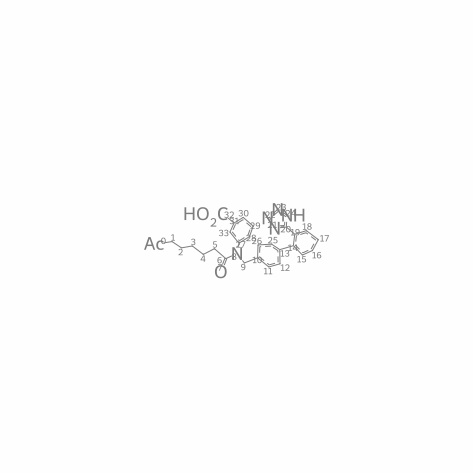 CC(=O)CCCCCC(=O)N(Cc1ccc(-c2ccccc2-c2nnn[nH]2)cc1)c1cccc(C(=O)O)c1